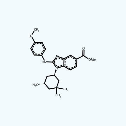 COC(=O)c1ccc2c(c1)nc(Nc1ccc(OC(F)(F)F)cc1)n2[C@@H]1C[C@@H](C)CC(C)(C)C1